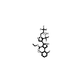 CCOC(=O)c1c(-c2c(F)cccc2Cl)c[nH]c1-c1cnn(C[C@@H](O)C(F)(F)F)c1C(F)(F)F